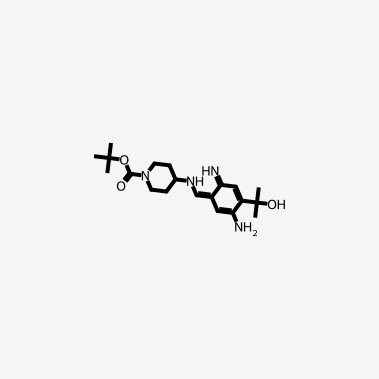 CC(C)(C)OC(=O)N1CCC(N/C=C2/C=C(N)C(C(C)(C)O)=CC2=N)CC1